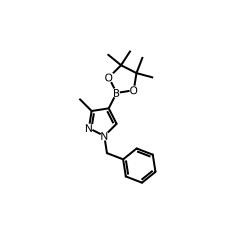 Cc1nn(Cc2ccccc2)cc1B1OC(C)(C)C(C)(C)O1